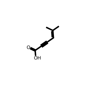 CC(C)=CC#CC(=O)O